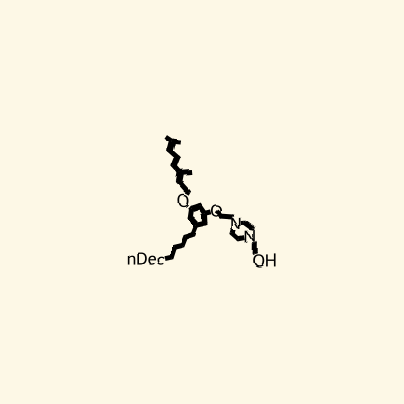 CCCCCCCCCCCCCCCc1cc(OC/C=C(\C)CCC=C(C)C)cc(OCCN2CCN(CCO)CC2)c1